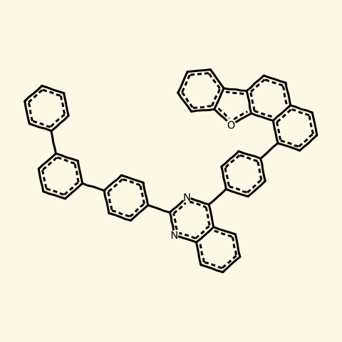 c1ccc(-c2cccc(-c3ccc(-c4nc(-c5ccc(-c6cccc7ccc8c9ccccc9oc8c67)cc5)c5ccccc5n4)cc3)c2)cc1